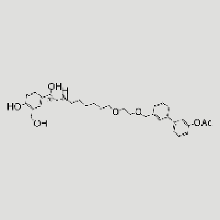 CC(=O)Oc1cccc(-c2cccc(COCCOCCCCCCNC[C@H](O)c3ccc(O)c(CO)c3)c2)c1